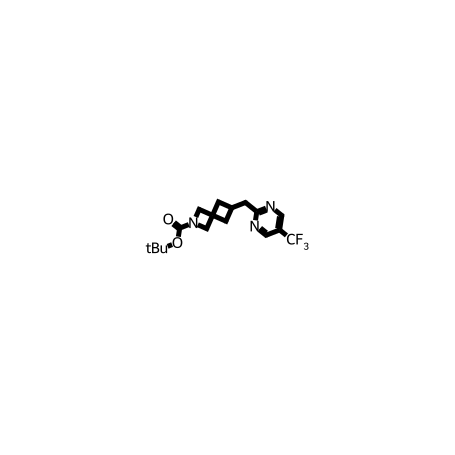 CC(C)(C)OC(=O)N1CC2(CC(Cc3ncc(C(F)(F)F)cn3)C2)C1